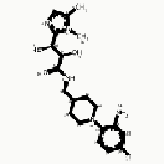 Cc1cnc([C@H](O)[C@@H](O)C(=O)NCC2CCN(c3ccc(F)cc3N)CC2)n1C